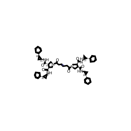 O=C(N[C@H]1C[C@@H]1c1ccccc1)[C@@H]1CN(C(=O)C/C=C/CC(=O)N2C[C@@H](C(=O)N[C@H]3C[C@@H]3c3ccccc3)[C@H](C(=O)N[C@H]3C[C@@H]3c3ccccc3)C2)C[C@H]1C(=O)N[C@H]1C[C@@H]1c1ccccc1